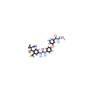 CNC(=O)c1cc(Oc2ccc(NC(=O)Nc3ccc(C(=O)C4(C#N)CC4)c(C(F)(F)F)c3)cc2)ccn1